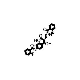 O=C(Nc1ccc([C@@H](O)[C@H](CCn2nnc3ccccc3c2=O)C(=O)O)cc1)c1ccccc1F